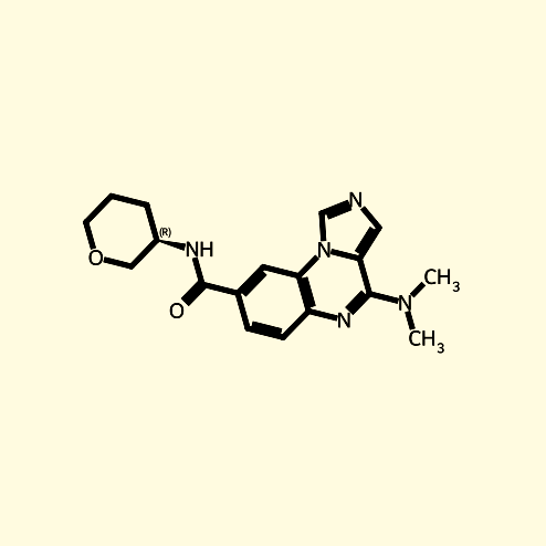 CN(C)c1nc2ccc(C(=O)N[C@@H]3CCCOC3)cc2n2cncc12